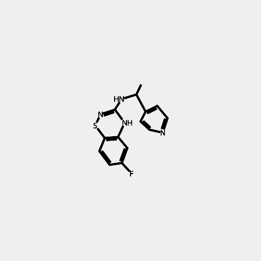 CC(NC1=NSc2ccc(F)cc2N1)c1ccncc1